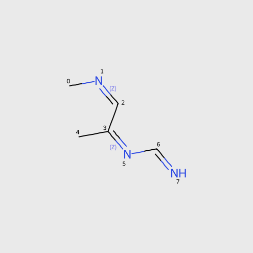 C/N=C\C(C)=N/C=N